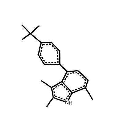 Cc1[nH]c2c(C)ccc(-c3ccc(C(C)(C)C)cc3)c2c1C